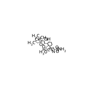 CCCc1c(C2=C(O)CC(CC(C)C)(CC(C)C)OC2=O)cccc1[N+]1(C)C=NC(S(N)(=O)=O)=C1